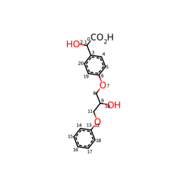 O=C(O)C(O)c1ccc(OCC(O)COc2ccccc2)cc1